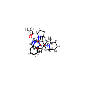 CC(=O)[C@@H]1CCCN1c1nc2ccccc2n1[C@H]1C[C@H]2CCC[C@@H](C1)N2[C@H]1C[C@@H]2CCC[C@@H](C2)C1